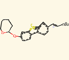 CCCC/C=C/c1ccc2c(c1)sc1cc(OC3CCCCO3)ccc12